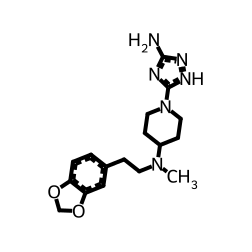 CN(CCc1ccc2c(c1)OCO2)C1CCN(c2nc(N)n[nH]2)CC1